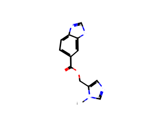 CC(C)n1cncc1COC(=O)c1ccc2nc[nH]c2c1